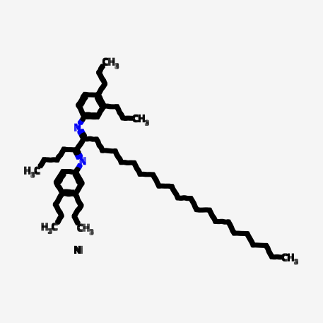 CCCCCCCCCCCCCCCCCCCCCC(=Nc1ccc(CCC)c(CCC)c1)C(CCCC)=Nc1ccc(CCC)c(CCC)c1.[Ni]